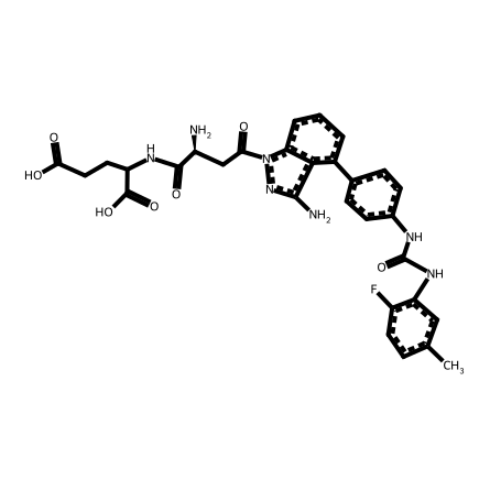 Cc1ccc(F)c(NC(=O)Nc2ccc(-c3cccc4c3c(N)nn4C(=O)C[C@H](N)C(=O)NC(CCC(=O)O)C(=O)O)cc2)c1